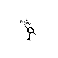 CCS(=O)(=O)Oc1ccc(F)c(C2CC2)c1